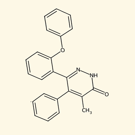 Cc1c(-c2c[c]ccc2)c(-c2ccccc2Oc2ccccc2)n[nH]c1=O